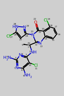 C[C@H](Nc1nc(N)nc(N)c1Cl)c1nc2cccc(Cl)c2c(=O)n1-c1cc(Cl)[nH]n1